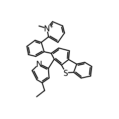 CCc1ccnc(-c2c(-c3ccccc3-c3cccc[n+]3C)ccc3c2sc2ccccc23)c1